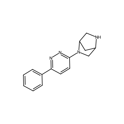 c1ccc(-c2ccc(N3CC4CC3CN4)nn2)cc1